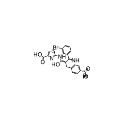 N=C(/C(Cc1ccc([SH](=O)=O)cc1)=C(/O)Nc1nc(C(=O)O)cs1)c1cccc(Br)c1